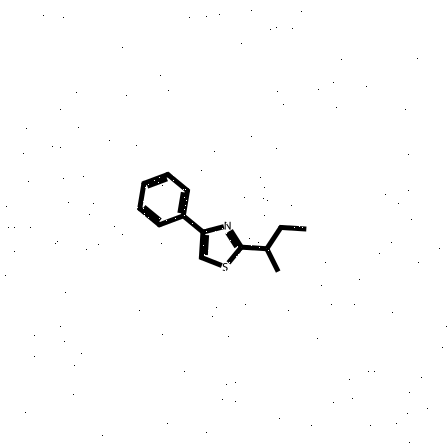 CCC(C)c1nc(-c2ccccc2)cs1